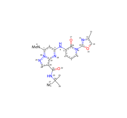 CNc1cc(Nc2cccn(-c3nc(C)co3)c2=O)nc2c(C(=O)NC(C)(C)C#N)cnn12